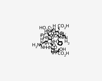 CC(C)C[C@H](NC(=O)[C@H](CC(=O)O)NC(=O)[C@H](CCC(=O)O)NC(=O)[C@H](Cc1ccccc1)NC(=O)[C@H](C)N)C(=O)N[C@@H](CCCNC(=N)N)C(=O)N[C@H](C(=O)N[C@@H](CC(C)C)C(=O)N[C@@H](CO)C(=O)O)C(C)C